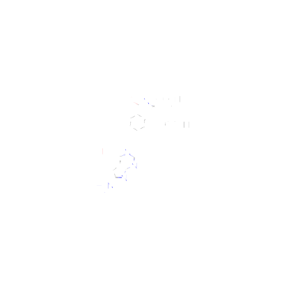 CN(C(=O)c1ccc(CCn2cnc3nc(N)cc-3c2O)cc1)[C@@](C)(CCC(=O)O)C(=O)O